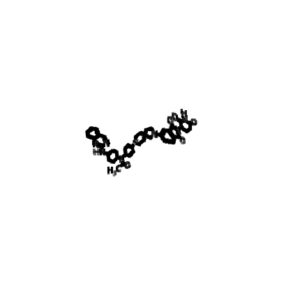 CC(=O)N(c1ccc(N2CCC3(CC2)CCN(c2ccc4c(c2)C(=O)N(C2CCC(=O)NC2=O)C4=O)C3)cc1)C1CCC(Nc2ncc3ccccc3n2)CC1